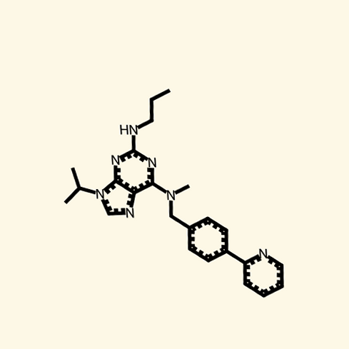 CCCNc1nc(N(C)Cc2ccc(-c3ccccn3)cc2)c2ncn(C(C)C)c2n1